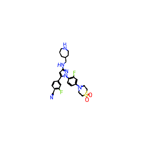 N#Cc1ccc(-c2cc(NCC3CCCNCC3)nn2-c2ccc(N3CCS(=O)(=O)CC3)cc2F)cc1F